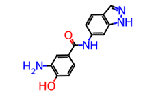 Nc1cc(C(=O)Nc2ccc3cn[nH]c3c2)ccc1O